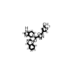 Cn1cc(-c2nnc(C(=O)N3CCc4[nH]cnc4[C@H]3c3ncc4ccccc4n3)o2)cn1